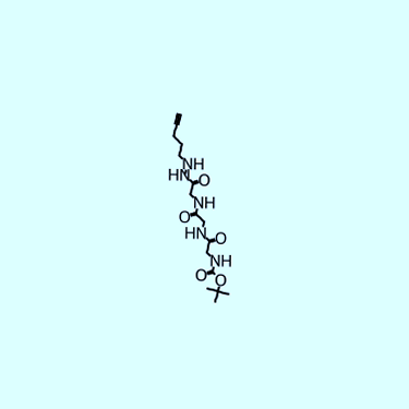 C#CCCCNNC(=O)CNC(=O)CNC(=O)CNC(=O)OC(C)(C)C